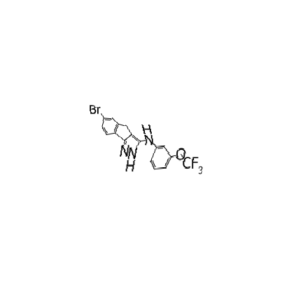 FC(F)(F)Oc1cccc(Nc2[nH]nc3c2Cc2cc(Br)ccc2-3)c1